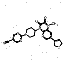 Cn1c(=O)c(=O)n(C2CCN(c3ncc(C#N)cn3)CC2)c2ncc(C3=CCOC3)cc21